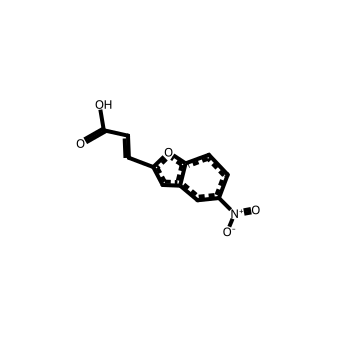 O=C(O)/C=C/c1cc2cc([N+](=O)[O-])ccc2o1